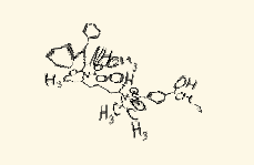 CC[C@@H](CCC[C@@H](CO)N(C(C)C)S(=O)(=O)c1ccc([C@H](C)O)cc1)N(C(=O)OC)C(=O)[C@@H](N)C(c1ccccc1)c1ccccc1